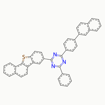 c1ccc(-c2nc(-c3ccc(-c4ccc5ccccc5c4)cc3)nc(-c3ccc4sc5c6ccccc6ccc5c4c3)n2)cc1